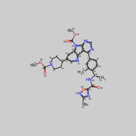 Cc1cc(-c2ncnc3c2c2ncc(C4CCN(C(=O)OC(C)(C)C)CC4)cc2n3C(=O)OC(C)(C)C)ccc1[C@@H](C)NC(=O)c1nc(C(C)(C)C)no1